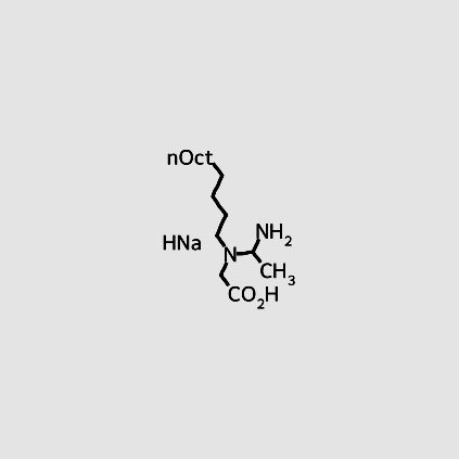 CCCCCCCCCCCCN(CC(=O)O)C(C)N.[NaH]